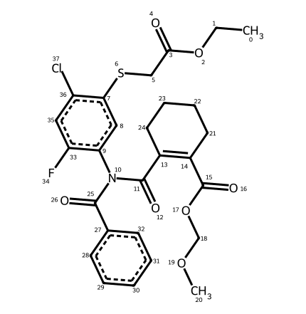 CCOC(=O)CSc1cc(N(C(=O)C2=C(C(=O)OCOC)CCCC2)C(=O)c2ccccc2)c(F)cc1Cl